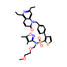 CCc1cc2c(ccc(=O)n2Cc2ccc(-c3ccsc3S(=O)(=O)N(COCCOC)c3noc(C)c3C)cc2)c(CC)n1